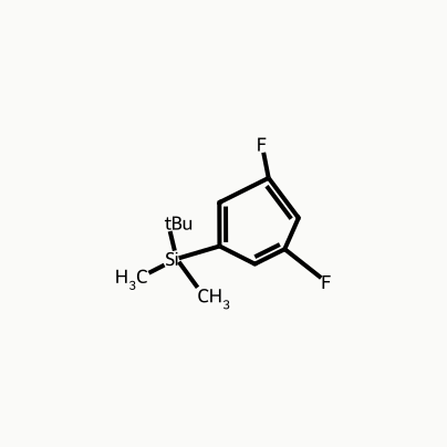 CC(C)(C)[Si](C)(C)c1cc(F)cc(F)c1